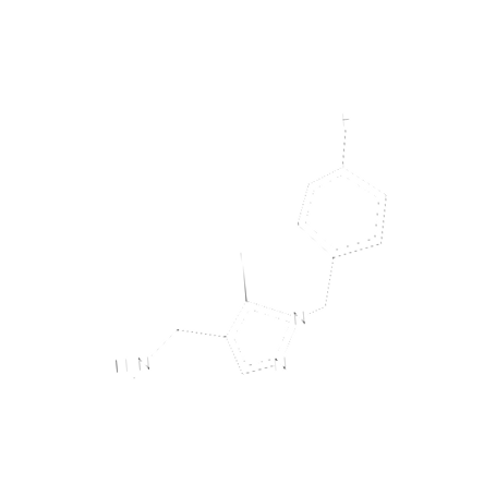 Cc1c(CN)cnn1Cc1ccc(F)cc1